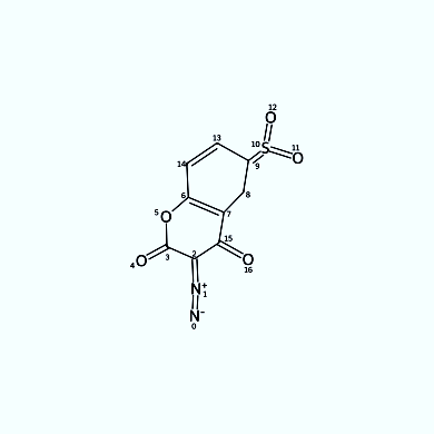 [N-]=[N+]=C1C(=O)OC2=C(CC(=S(=O)=O)C=C2)C1=O